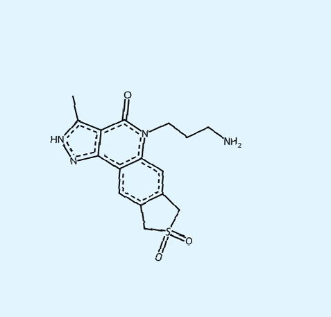 Cc1[nH]nc2c1c(=O)n(CCCN)c1cc3c(cc21)CS(=O)(=O)C3